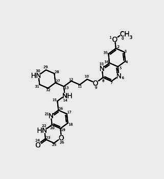 COc1ccc2ncc(OCCCC(NCc3ccc4c(n3)NC(=O)CO4)C3CCNCC3)nc2c1